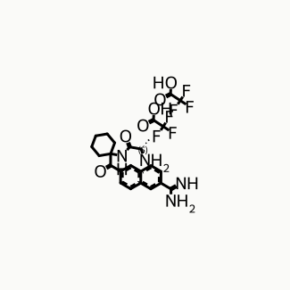 C[C@H](N)C(=O)NC1(C(=O)c2ccc3cc(C(=N)N)ccc3c2)CCCCC1.O=C(O)C(F)(F)F.O=C(O)C(F)(F)F